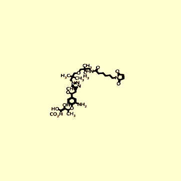 CC(Oc1ccc(C(Cc2cn(CC(C)(C)COCC(C)(C)CNC(=O)CCCCCN3C(=O)C=CC3=O)nn2)OC=O)cc1N)/C(O)=C(/O)C(=O)O